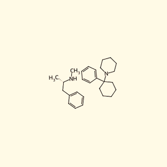 CN[C@@H](C)Cc1ccccc1.c1ccc(C2(N3CCCCC3)CCCCC2)cc1